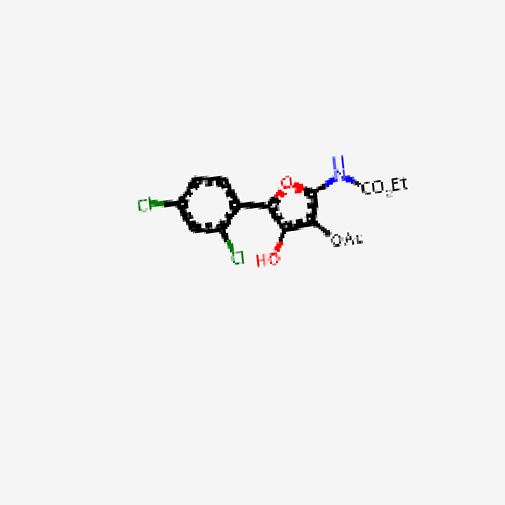 CCOC(=O)Nc1oc(-c2ccc(Cl)cc2Cl)c(O)c1OC(C)=O